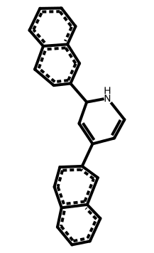 C1=CC(c2ccc3ccccc3c2)=C[C](c2ccc3ccccc3c2)N1